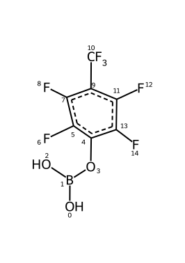 OB(O)Oc1c(F)c(F)c(C(F)(F)F)c(F)c1F